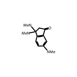 CNc1ccc2c(c1)C(=O)CC2(NC)NC